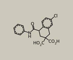 O=C(Nc1ccccc1)C1CC(C(=O)O)(C(=O)O)Cc2cc(Cl)ccc21